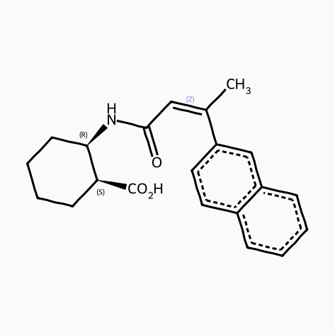 C/C(=C/C(=O)N[C@@H]1CCCC[C@@H]1C(=O)O)c1ccc2ccccc2c1